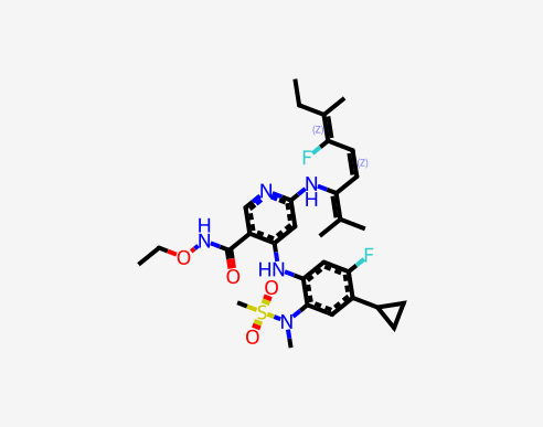 CCONC(=O)c1cnc(NC(/C=C\C(F)=C(/C)CC)=C(C)C)cc1Nc1cc(F)c(C2CC2)cc1N(C)S(C)(=O)=O